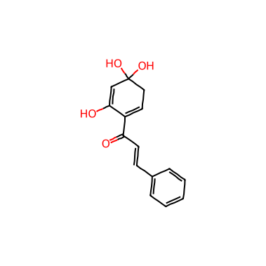 O=C(C=Cc1ccccc1)C1=CCC(O)(O)C=C1O